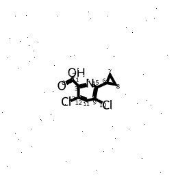 O=C(O)c1nc(C2CC2)c(Cl)cc1Cl